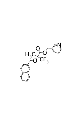 CC(OCc1ccc2ccccc2c1)(C(=O)OCc1cccnc1)C(F)(F)F